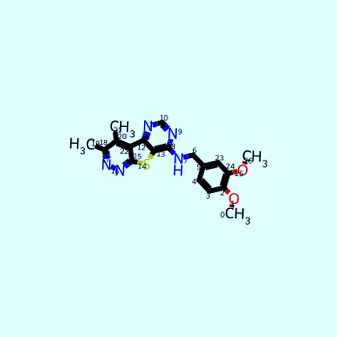 COc1ccc(CNc2ncnc3c2sc2nnc(C)c(C)c23)cc1OC